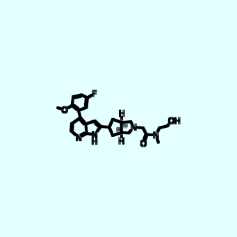 COc1ccc(F)cc1-c1ccnc2[nH]c(C3C[C@@H]4CN(CC(=O)N(C)CCO)C[C@@H]4C3)cc12